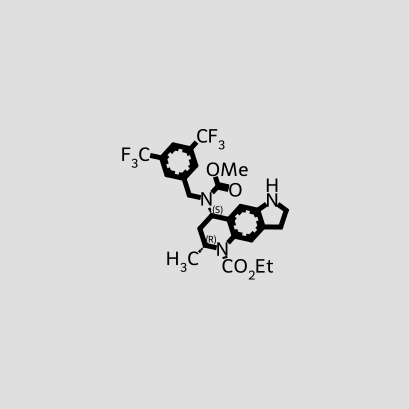 CCOC(=O)N1c2cc3c(cc2[C@@H](N(Cc2cc(C(F)(F)F)cc(C(F)(F)F)c2)C(=O)OC)C[C@H]1C)NCC3